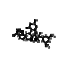 Cc1cc(F)ccc1C1CC2(CCC(C(N)=O)N2)CCN1C(=O)C(C)(N)C(C)c1cc(C(F)(F)F)cc(C(F)(F)F)c1